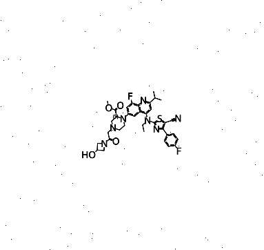 CCN(c1nc(-c2ccc(F)cc2)c(C#N)s1)c1cc(C(C)C)nc2c(F)cc(N3CCN(CC(=O)N4CC(O)C4)C[C@H]3C(=O)OC)cc12